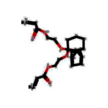 C=CC(=O)OCCOC1(OCCOC(=O)C=C)CCCCC12C1=CC=C2C=C1